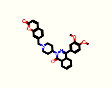 COc1ccc(C2=NN(C3CCN(Cc4ccc5ccc(=O)oc5c4)CC3)C(=O)C3CC=CCC23)cc1OC